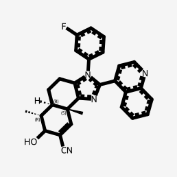 C[C@H]1C(O)C(C#N)=C[C@@]2(C)c3nc(-c4ccnc5ccccc45)n(-c4cccc(F)c4)c3CC[C@H]12